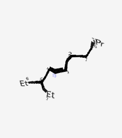 [CH2]C(C)CC/C=C/C(CC)CC